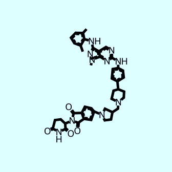 Cc1cccc(C)c1Nc1nn(C)c2nc(Nc3ccc(C4CCN(CC5CCN(c6ccc7c(c6)C(=O)N(C6CCC(=O)NC6=O)C7=O)C5)CC4)cc3)ncc12